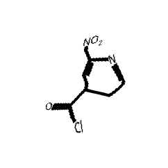 O=C(Cl)C1C=C([N+](=O)[O-])N=CC1